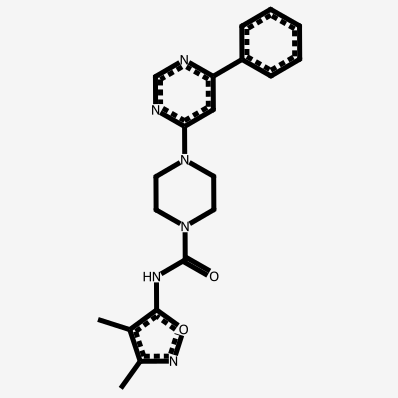 Cc1noc(NC(=O)N2CCN(c3cc(-c4ccccc4)ncn3)CC2)c1C